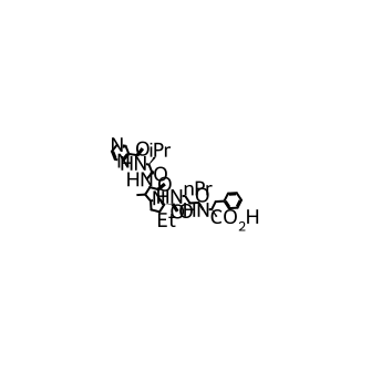 CCCC(NC(=O)[C@@H]1[C@@H](CC)CC2C(C)[C@H](NC(=O)[C@H](CC(C)C)NC(=O)c3cnccn3)C(=O)N21)C(=O)C(=O)N[C@@H](Cc1ccccc1)C(=O)O